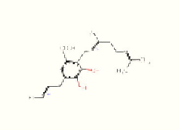 CC/C=C/Cc1cc(C(=O)O)c(C/C=C(\C)CCC=C(C)C)c(O)c1O